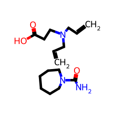 C=CCN(CC=C)CCC(=O)O.NC(=O)N1CCCCCC1